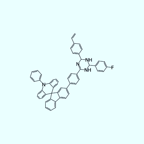 C=Cc1ccc(C2N=C(c3ccc(-c4ccc5c(c4)C4(c6ccccc6-5)c5ccccc5N(c5ccccc5)c5ccccc54)cc3)NC(c3ccc(F)cc3)N2)cc1